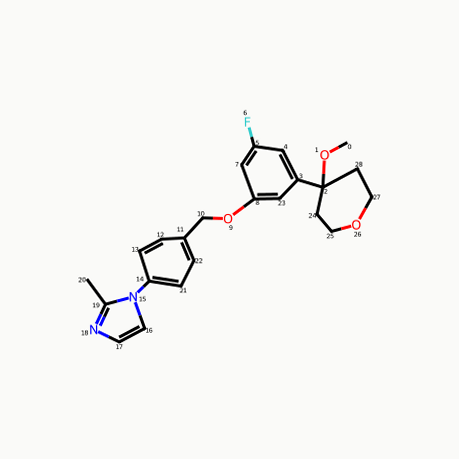 COC1(c2cc(F)cc(OCc3ccc(-n4ccnc4C)cc3)c2)CCOCC1